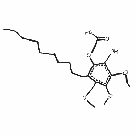 CCCCCCCCCc1c(OC(=O)O)c(O)c(OC)c(OC)c1OC